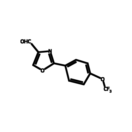 O=Cc1coc(-c2ccc(OC(F)(F)F)cc2)n1